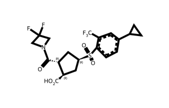 O=C(O)[C@@H]1C[C@H](S(=O)(=O)c2ccc(C3CC3)cc2C(F)(F)F)C[C@H]1C(=O)N1CC(F)(F)C1